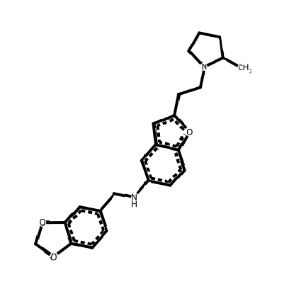 CC1CCCN1CCc1cc2cc(NCc3ccc4c(c3)OCO4)ccc2o1